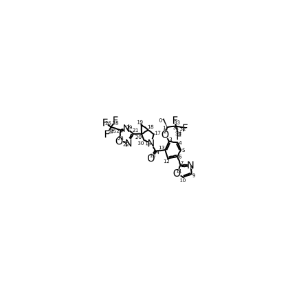 C[C@H](Oc1ccc(-c2ncco2)cc1C(=O)N1CC2CC2(c2noc(C(F)(F)F)n2)C1)C(F)(F)F